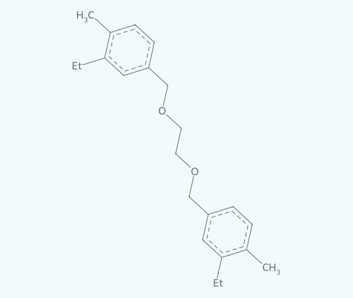 CCc1cc(COCCOCc2ccc(C)c(CC)c2)ccc1C